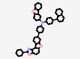 c1ccc(-c2nc3c(ccc4oc5cc(-c6ccc(N(c7ccc(-c8cccc9ccccc89)cc7)c7ccc8oc9ccccc9c8c7)cc6)ccc5c43)o2)cc1